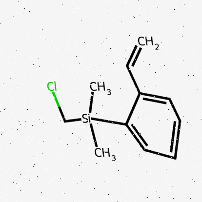 C=Cc1ccccc1[Si](C)(C)CCl